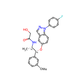 COc1cccc([C@@H](Oc2ccc3c(cnn3-c3ccc(F)cc3)c2)[C@H](C)NC(=O)CO)c1